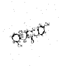 N#Cc1ccc(Cn2c(=O)cc(Cl)n(Cc3ccccc3C#N)c2=O)cc1